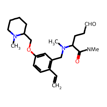 C=Cc1ccc(OCC2CCCCN2C)cc1CN(C)C(CCC=O)C(=O)NC